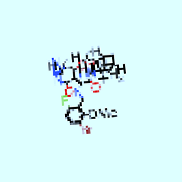 COc1c(Br)ccc(F)c1CN1OC(N=[N+]=[N-])[C@@H]([C@H](C)O)[C@H]1C(=O)N[C@H]1C[C@H]2C[C@@H]([C@@H]1C)C2(C)C